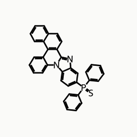 S=P(c1ccccc1)(c1ccccc1)c1ccc2c(c1)nc1c3ccc4ccccc4c3c3ccccc3n21